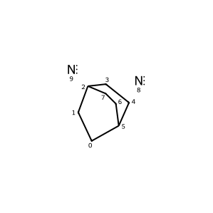 C1CC2CCC1CC2.[N].[N]